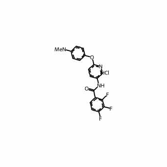 CNc1ccc(Oc2ccc(NC(=O)c3ccc(F)c(F)c3F)cn2)cc1.Cl